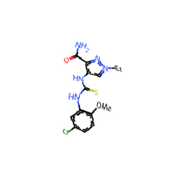 CCn1cc(NC(=S)Nc2cc(Cl)ccc2OC)c(C(N)=O)n1